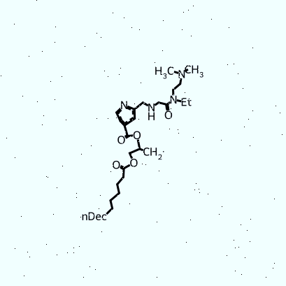 [CH2]C(COC(=O)CCCCCCCCCCCCCCC)OC(=O)c1ccnc(CNCC(=O)N(CC)CCN(C)C)c1